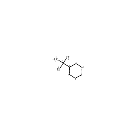 [CH2]C(CC)(CC)C1CCCCC1